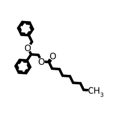 CCCCCCCCC(=O)OCC(OCc1ccccc1)c1ccccc1